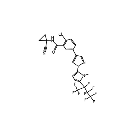 Cn1c(-n2cc(-c3ccc(Cl)c(C(=O)NC4(C#N)CC4)c3)cn2)ccc1C(F)(C(F)(F)F)C(F)(F)C(F)(F)F